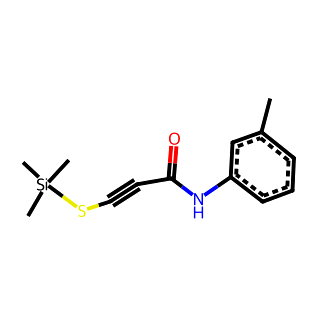 Cc1cccc(NC(=O)C#CS[Si](C)(C)C)c1